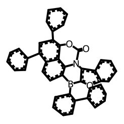 O=C1Oc2c(-c3ccccc3)cc(-c3ccccc3)c3ccc4c(c23)N1c1c(oc2ccccc12)B4c1ccccc1-c1ccccc1